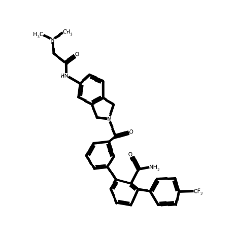 CN(C)CC(=O)Nc1ccc2c(c1)CN(C(=O)c1cccc(-c3cccc(-c4ccc(C(F)(F)F)cc4)c3C(N)=O)c1)C2